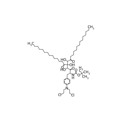 CCCCCCCCCCCCCC(=O)C(O)C(O)(C(=O)CCCCCCCCCCCCC)C(O)C(=O)C(Cc1ccc(N(CCCl)CCCl)cc1)NC(=O)OC(C)(C)C